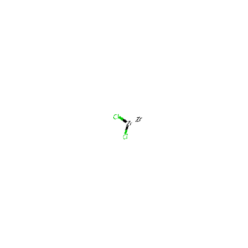 [Cl][Zr][Cl].[Zr]